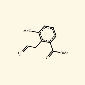 C=CCc1c(OC)cccc1C(=O)OC